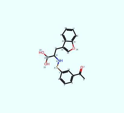 CC(=O)c1cccc(SNC(Cc2coc3ccccc23)B(O)O)c1